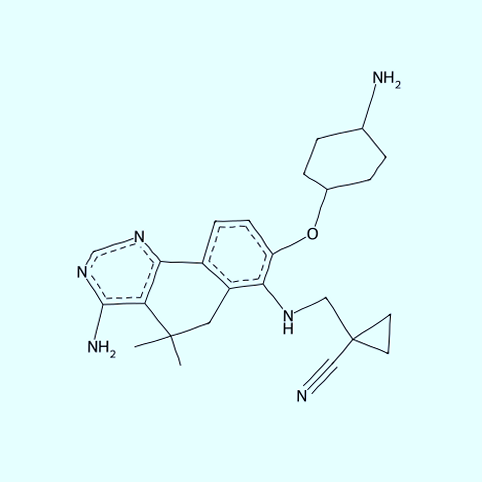 CC1(C)Cc2c(ccc(OC3CCC(N)CC3)c2NCC2(C#N)CC2)-c2ncnc(N)c21